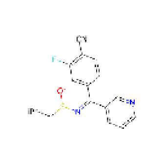 CC(C)C[S+]([O-])N=C(c1cccnc1)c1ccc(C#N)c(F)c1